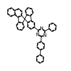 c1ccc(-c2ccc(-c3nc(-c4ccccc4)nc(-c4ccc5c(c4)-c4ccccc4C54c5ccccc5-c5c4ccc4ccccc54)n3)cc2)cc1